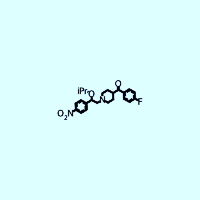 CC(C)OC(CN1CCC(C(=O)c2ccc(F)cc2)CC1)c1ccc([N+](=O)[O-])cc1